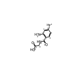 Nc1cc([18F])ccc1C(=O)NCC(=O)O